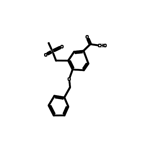 CS(=O)(=O)Cc1cc(C(=O)C=O)ccc1OCc1ccccc1